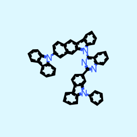 c1ccc(-n2c3ccccc3c3ccc(-c4nc(-n5c6ccccc6c6cc7ccc(-n8c9ccccc9c9ccccc98)cc7cc65)c5ccccc5n4)cc32)cc1